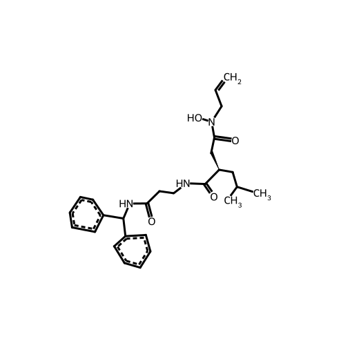 C=CCN(O)C(=O)C[C@@H](CC(C)C)C(=O)NCCC(=O)NC(c1ccccc1)c1ccccc1